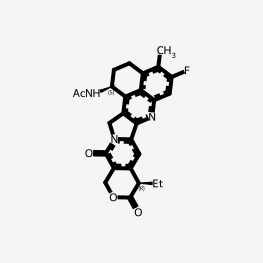 CC[C@H]1C(=O)OCc2c1cc1n(c2=O)Cc2c-1nc1cc(F)c(C)c3c1c2[C@@H](NC(C)=O)CC3